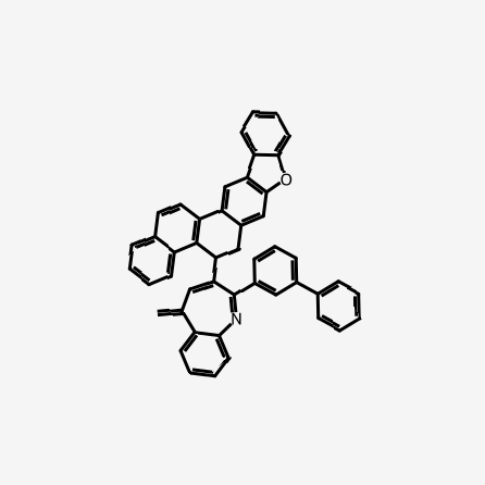 C=C1C=C(C2Cc3cc4oc5ccccc5c4cc3-c3ccc4ccccc4c32)C(c2cccc(-c3ccccc3)c2)=Nc2ccccc21